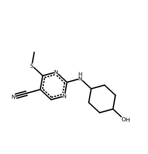 CSc1nc(NC2CCC(O)CC2)ncc1C#N